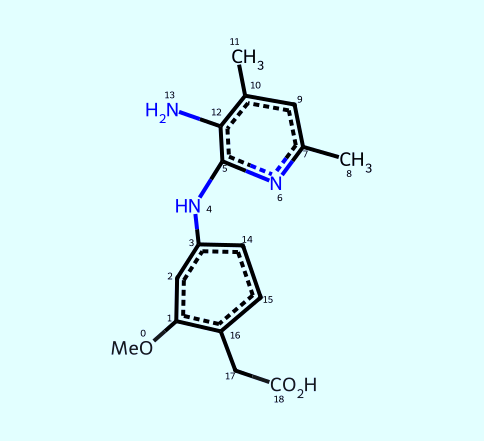 COc1cc(Nc2nc(C)cc(C)c2N)ccc1CC(=O)O